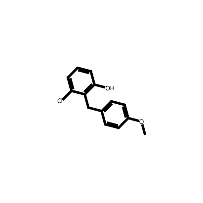 COc1ccc(Cc2c(O)cccc2Cl)cc1